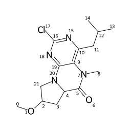 COC1CC2C(=O)N(C)c3c(CC(C)C)nc(Cl)nc3N2C1